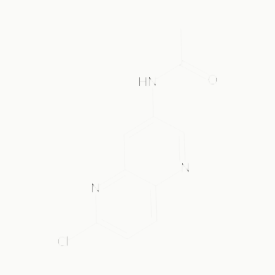 CC(=O)Nc1cnc2ccc(Cl)nc2c1